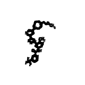 COCCN1CCCN(c2cncc(-c3cn(-c4cc(NC(=O)c5cc(C(F)(F)F)ccn5)cnc4C)nn3)c2)CC1